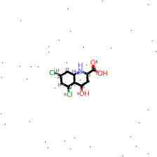 O=C(O)C1CC(O)C2C(Cl)CC(Cl)CC2N1